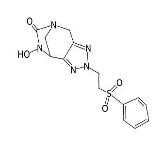 O=C1N2Cc3nn(CCS(=O)(=O)c4ccccc4)nc3C(C2)N1O